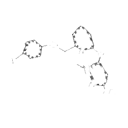 Cn1nc(C(F)(F)F)cc1Oc1cccc(COc2ccc(F)cc2)n1